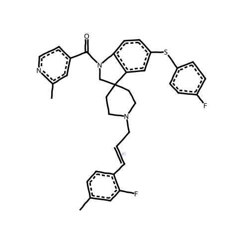 Cc1ccc(/C=C/CN2CCC3(CC2)CN(C(=O)c2ccnc(C)c2)c2ccc(Sc4ccc(F)cc4)cc23)c(F)c1